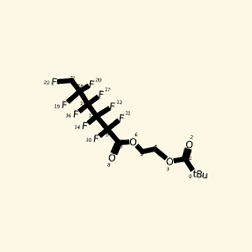 CC(C)(C)C(=O)OCCOC(=O)C(F)(F)C(F)(F)C(F)(F)C(F)(F)CF